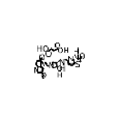 COc1cnc2ccc(=O)n(CCN3C[C@@H](CNCc4ccc5c(n4)NC(=O)CS5)[C@@H](O)C3)c2c1.O=C(O)/C=C/C(=O)O